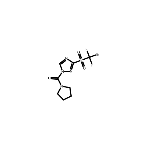 O=C(N1CCCC1)n1cnc(S(=O)(=O)C(F)(F)Br)n1